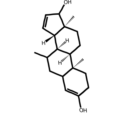 CC1CC2C=C(O)CC[C@]2(C)[C@@H]2CC[C@]3(C)C(O)C=C[C@H]3[C@H]12